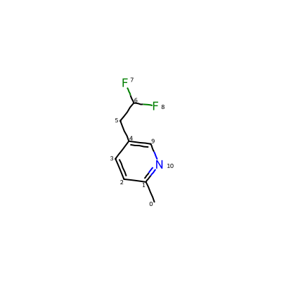 Cc1ccc(CC(F)F)cn1